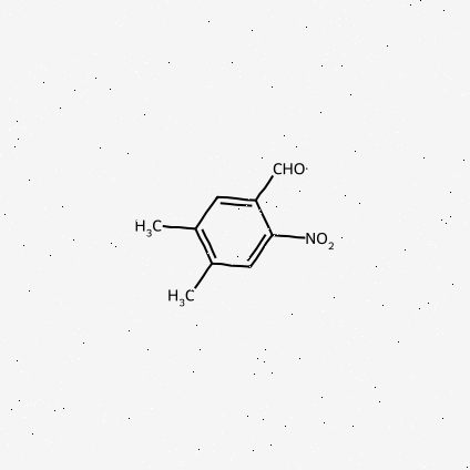 Cc1cc([C]=O)c([N+](=O)[O-])cc1C